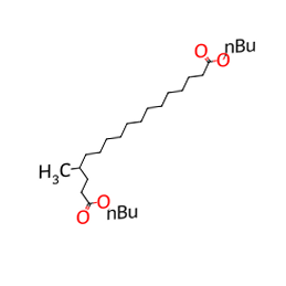 CCCCOC(=O)CCCCCCCCCCCCC(C)CCC(=O)OCCCC